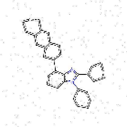 c1ccc(-c2nc3c(-c4ccc5cc6ccccc6cc5c4)cccc3n2-c2ccccc2)cc1